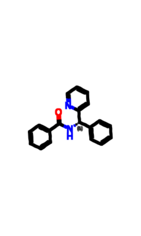 O=C(N[C@@H](c1ccccc1)c1ccccn1)c1ccccc1